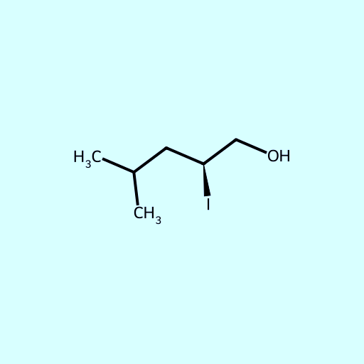 CC(C)C[C@H](I)CO